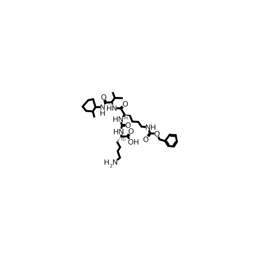 CC1CCCCC1NC(=O)[C@@H](NC(=O)[C@@H](CCCCNC(=O)OCc1ccccc1)NC(=O)N[C@@H](CCCCN)C(=O)O)C(C)C